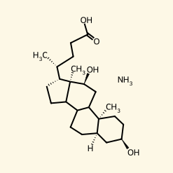 C[C@H](CCC(=O)O)[C@H]1CCC2C3CC[C@@H]4C[C@H](O)CC[C@]4(C)C3C[C@H](O)[C@@]21C.N